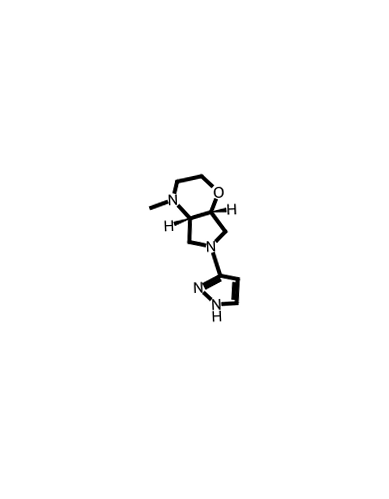 CN1CCO[C@@H]2CN(c3cc[nH]n3)C[C@@H]21